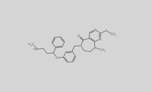 CNCCC(Oc1cccc(CN2CCN(C)c3nc(SC)ncc3C2=O)c1)c1ccccc1